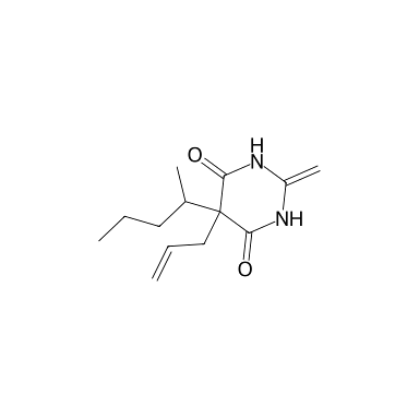 C=CCC1(C(C)CCC)C(=O)NC(=C)NC1=O